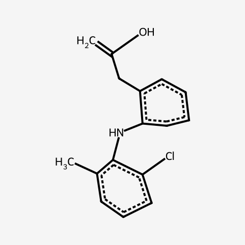 C=C(O)Cc1ccccc1Nc1c(C)cccc1Cl